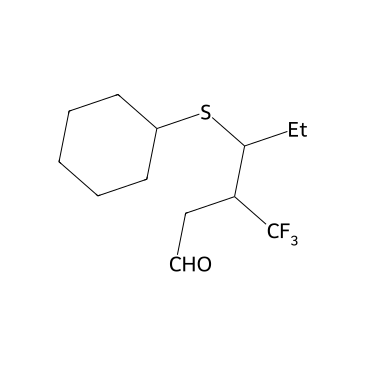 CCC(SC1CCCCC1)C(CC=O)C(F)(F)F